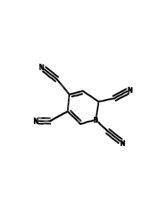 N#CB1C=C(C#N)C(C#N)=CC1C#N